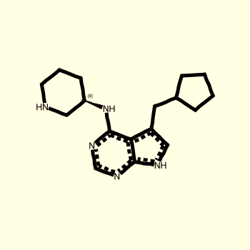 c1nc(N[C@@H]2CCCNC2)c2c(CC3CCCC3)c[nH]c2n1